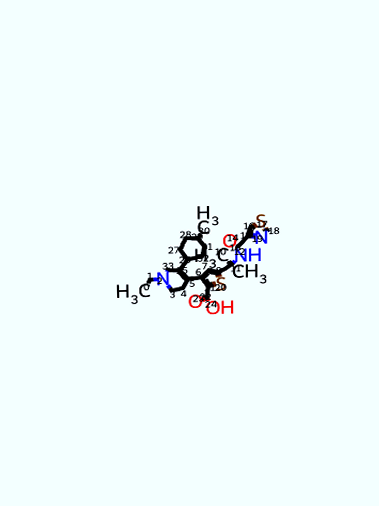 CCN1CCC(c2cc(C(C)(C)NC(=O)c3cscn3)sc2C(=O)O)=C(C2CCC(C)CC2)C1